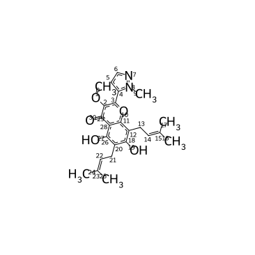 COc1c(-c2ccnn2C)oc2c(CC=C(C)C)c(O)c(CC=C(C)C)c(O)c2c1=O